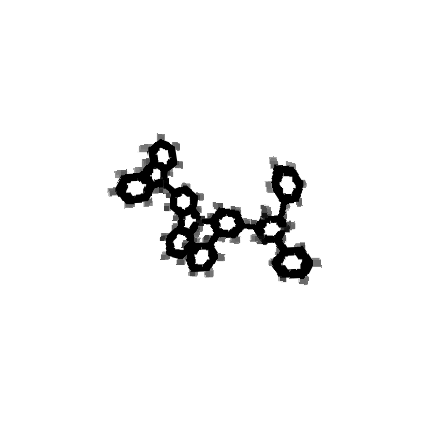 c1ccc(-c2nc(-c3ccccc3)nc(-c3ccc(-n4c5ccccc5c5cc(-n6c7ccccc7c7ccccc76)ccc54)c(-c4ccccc4)c3)n2)cc1